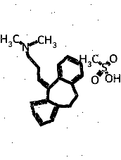 CN(C)CCC=C1c2ccccc2CCc2ccccc21.CS(=O)(=O)O